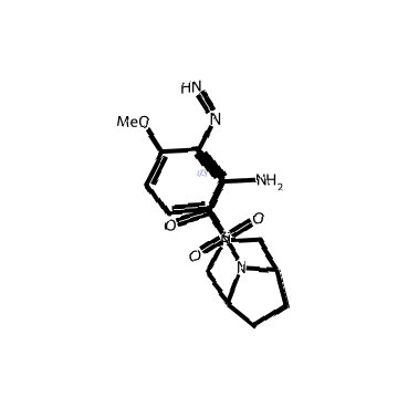 COc1ccc(S(=O)(=O)N2C3CCC2CN(C(=O)/C(N)=C/N=N)C3)cc1